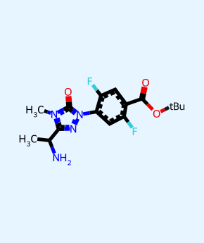 CC(N)c1nn(-c2cc(F)c(C(=O)OC(C)(C)C)cc2F)c(=O)n1C